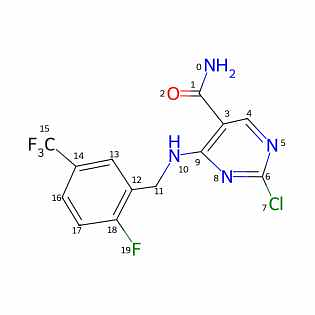 NC(=O)c1cnc(Cl)nc1NCc1cc(C(F)(F)F)ccc1F